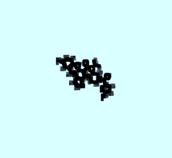 CC(C)OC(=O)c1c(N2CCN(C(=O)c3ccc(F)s3)CC2)c2sccc2n(Cc2cccc(F)c2)c1=O